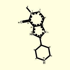 Cn1ncc2nc(C3CCNCC3)[nH]c2c1=O